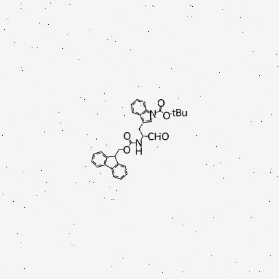 CC(C)(C)OC(=O)n1cc(C[C@@H](C=O)NC(=O)OCC2c3ccccc3-c3ccccc32)c2ccccc21